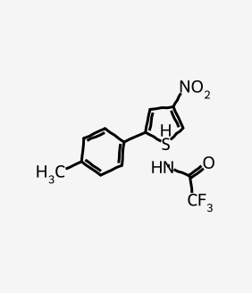 Cc1ccc(C2=CC([N+](=O)[O-])=C[SH]2NC(=O)C(F)(F)F)cc1